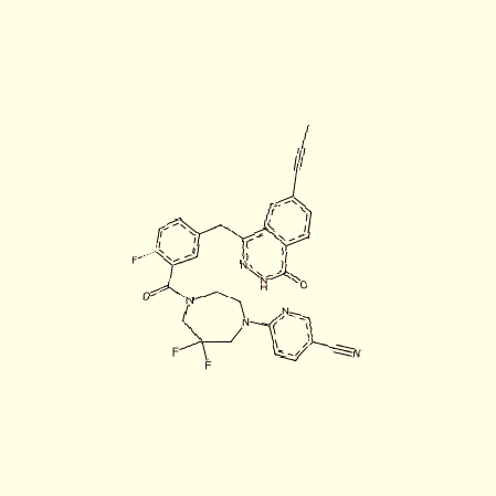 CC#Cc1ccc2c(=O)[nH]nc(Cc3ccc(F)c(C(=O)N4CCN(c5ccc(C#N)cn5)CC(F)(F)C4)c3)c2c1